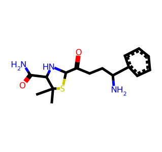 CC1(C)SC(C(=O)CCC(N)c2ccccc2)NC1C(N)=O